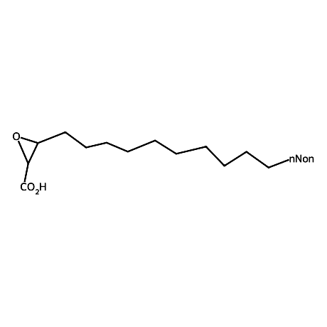 CCCCCCCCCCCCCCCCCCCC1OC1C(=O)O